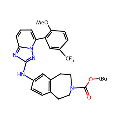 COc1ccc(C(F)(F)F)cc1-c1cccc2nc(Nc3ccc4c(c3)CCN(C(=O)OC(C)(C)C)CC4)nn12